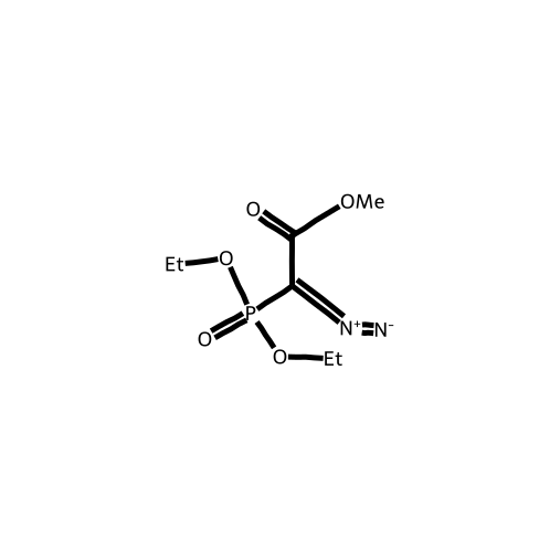 CCOP(=O)(OCC)C(=[N+]=[N-])C(=O)OC